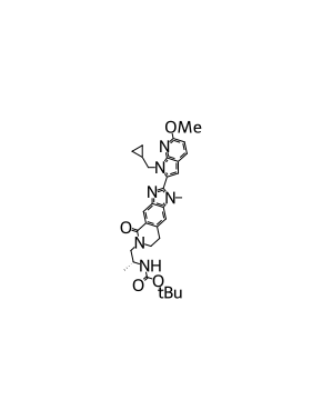 COc1ccc2cc(-c3nc4cc5c(cc4n3C)CCN(C[C@@H](C)NC(=O)OC(C)(C)C)C5=O)n(CC3CC3)c2n1